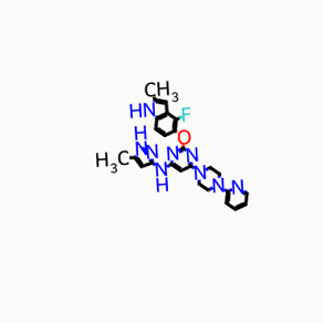 Cc1cc(Nc2cc(N3CCN(c4ccccn4)CC3)nc(Oc3ccc4[nH]c(C)cc4c3F)n2)n[nH]1